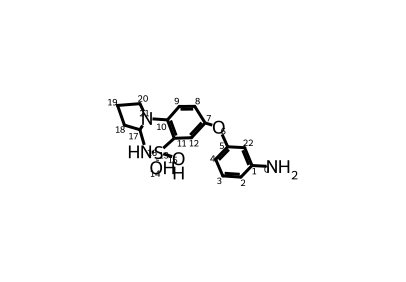 Nc1cccc(Oc2ccc3c(c2)S(O)(O)NC2CCCN32)c1